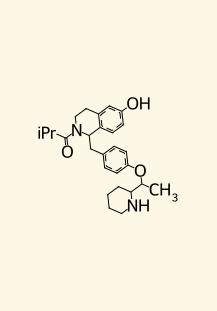 CC(C)C(=O)N1CCc2cc(O)ccc2C1Cc1ccc(OC(C)C2CCCCN2)cc1